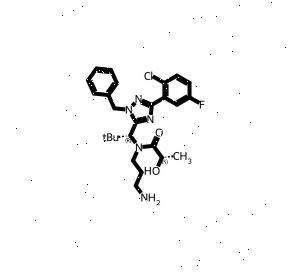 C[C@H](O)C(=O)N(CCCN)[C@@H](c1nc(-c2cc(F)ccc2Cl)nn1Cc1ccccc1)C(C)(C)C